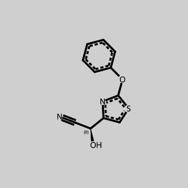 N#C[C@H](O)c1csc(Oc2ccccc2)n1